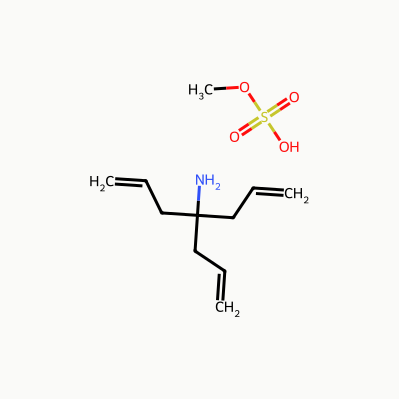 C=CCC(N)(CC=C)CC=C.COS(=O)(=O)O